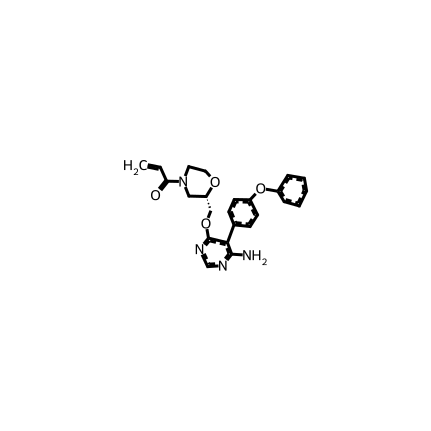 C=CC(=O)N1CCO[C@H](COc2ncnc(N)c2-c2ccc(Oc3ccccc3)cc2)C1